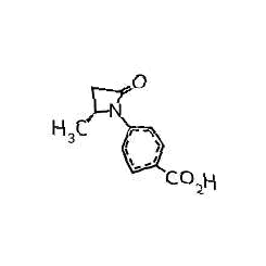 C[C@H]1CC(=O)N1c1ccc(C(=O)O)cc1